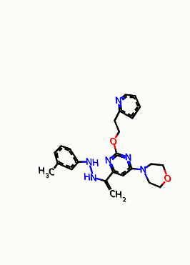 C=C(NNc1cccc(C)c1)c1cc(N2CCOCC2)nc(OCCc2ccccn2)n1